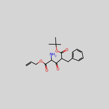 C=CCOC(=O)C(N)C(=O)C(Cc1ccccc1)C(=O)OC(C)(C)C